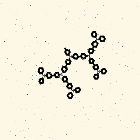 Cc1ccc(N(c2ccc(-c3ccc(N(c4ccc(-c5ccc(N(c6ccccc6)c6ccccc6)cc5)cc4)c4ccc(-c5ccc(N(c6ccccc6)c6ccccc6)cc5)cc4)cc3)cc2)c2ccc(-c3ccc(N(c4ccc(-c5ccc(N(c6ccccc6)c6ccccc6)cc5)cc4)c4ccc(-c5ccc(N(c6ccccc6)c6ccccc6)cc5)cc4)cc3)cc2)cc1